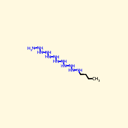 CCCCNNNNNNNNNNNN